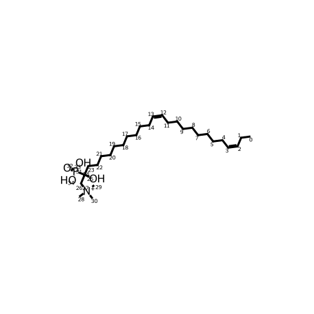 CC/C=C\CCCCCCCC/C=C\CCCCCCCCCCC(O)(C[N+](C)(C)C)P(=O)(O)O